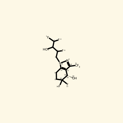 OC(C(F)F)C(F)Cn1nc(C(F)(F)F)c2c1CCC(F)(F)[C@H]2O